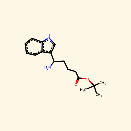 CC(C)(C)OC(=O)CCCC(N)c1c[nH]c2ccccc12